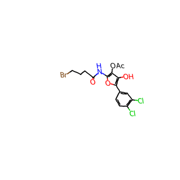 CC(=O)Oc1c(NC(=O)CCCBr)oc(-c2ccc(Cl)c(Cl)c2)c1O